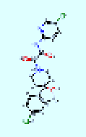 O=C(Nc1ccc(Cl)cn1)C(=O)N1CCC2(CC1)OCc1cc(Cl)ccc12